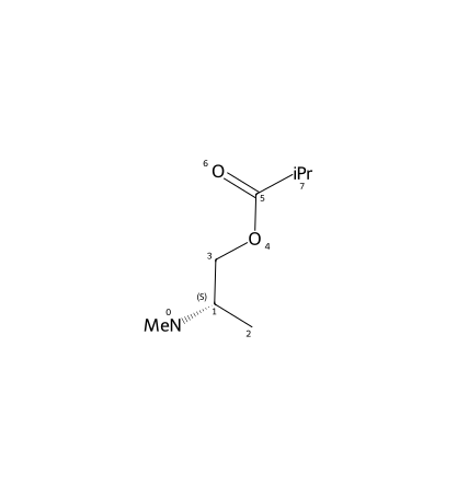 CN[C@@H](C)COC(=O)C(C)C